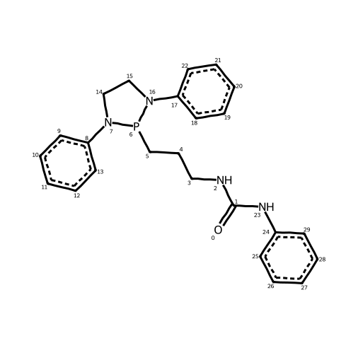 O=C(NCCCP1N(c2ccccc2)CCN1c1ccccc1)Nc1ccccc1